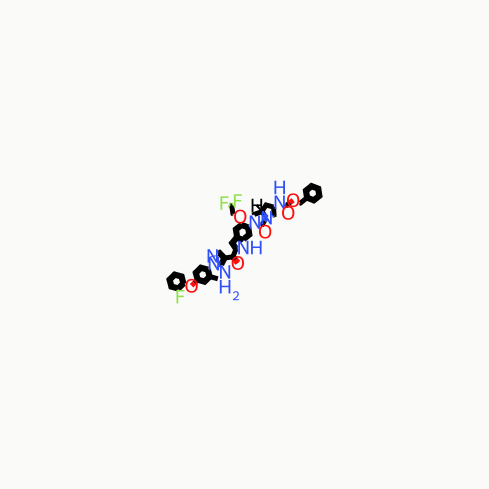 Cc1cc(Oc2ccccc2F)ccc1-n1ncc(C(=O)c2cc3cc(OCC(F)F)c(N4C[C@@H]5CC(NC(=O)OCc6ccccc6)CN5C4=O)cc3[nH]2)c1N